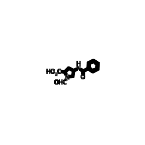 O=CN1CC(NC(=O)c2ccccc2)CC1C(=O)O